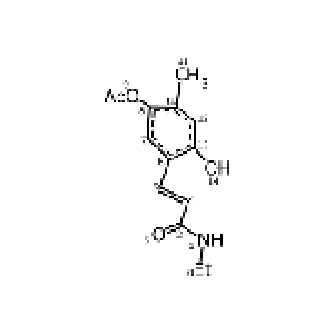 CCNC(=O)/C=C/c1cc(OC(C)=O)c(C)cc1O